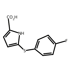 O=C(O)c1ccc(Sc2ccc(F)cc2)[nH]1